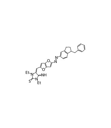 CCN1C(=N)/C(=C\c2cc3oc(/N=N/c4ccc5c(c4)CCC5Cc4ccccc4)cc3o2)N(CC)C1=S